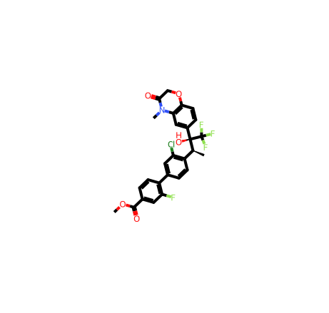 COC(=O)c1ccc(-c2ccc([C@H](C)[C@](O)(c3ccc4c(c3)N(C)C(=O)CO4)C(F)(F)F)c(Cl)c2)c(F)c1